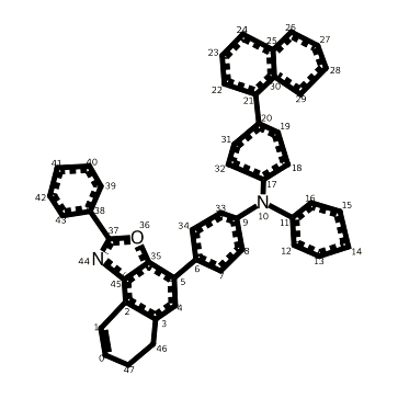 C1=Cc2c(cc(-c3ccc(N(c4ccccc4)c4ccc(-c5cccc6ccccc56)cc4)cc3)c3oc(-c4ccccc4)nc23)CC1